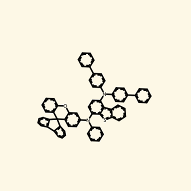 c1ccc(-c2ccc(N(c3ccc(-c4ccccc4)cc3)c3ccc(N(c4ccccc4)c4ccc5c(c4)Oc4ccccc4C54c5ccccc5-c5ccccc54)c4sc5ccccc5c34)cc2)cc1